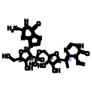 C=NN1C(=O)NC=N/C1=C(/C)[C@@H]1O[C@H](COP(=O)(O)[C@@H]2C(O)[C@@H](CO)O[C@H]2n2cnc3c(=O)[nH]c(N)nc32)C(O)C1O